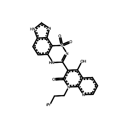 CC(C)CCn1c(=O)c(C2=NS(=O)(=O)c3c(ccc4[nH][c]nc34)N2)c(O)c2cccnc21